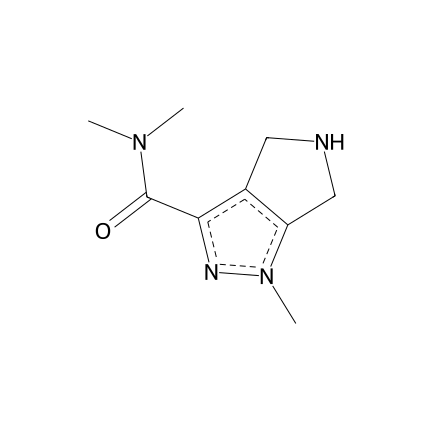 CN(C)C(=O)c1nn(C)c2c1CNC2